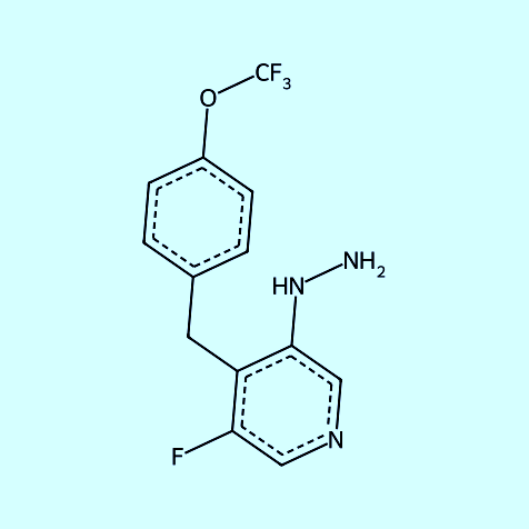 NNc1cncc(F)c1Cc1ccc(OC(F)(F)F)cc1